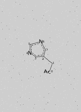 CC(=O)Cc1cncnc1